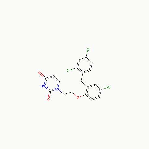 O=c1ccn(CCOc2ccc(Cl)cc2Cc2ccc(Cl)cc2Cl)c(=O)[nH]1